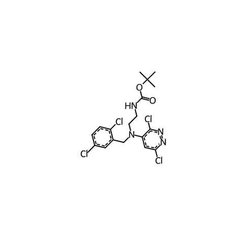 CC(C)(C)OC(=O)NCCN(Cc1cc(Cl)ccc1Cl)c1cc(Cl)nnc1Cl